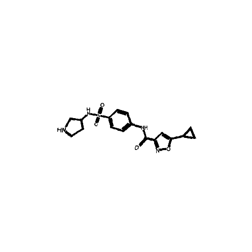 O=C(Nc1ccc(S(=O)(=O)NC2CCNC2)cc1)c1cc(C2CC2)on1